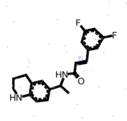 CC(NC(=O)/C=C/c1cc(F)cc(F)c1)c1ccc2c(c1)CCCN2